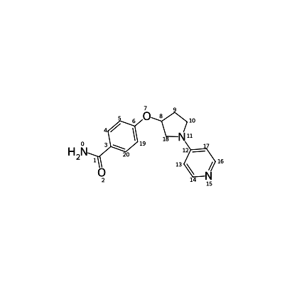 NC(=O)c1ccc(OC2CCN(c3ccncc3)C2)cc1